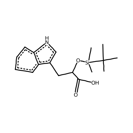 CC(C)(C)[Si](C)(C)OC(Cc1c[nH]c2ccccc12)C(=O)O